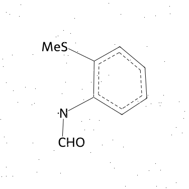 CSc1ccccc1[N]C=O